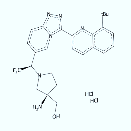 CC(C)(C)c1cccc2ccc(-c3nnc4ccc([C@@H](N5CC[C@](N)(CO)C5)C(F)(F)F)cn34)nc12.Cl.Cl